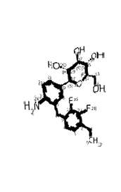 CCc1ccc(Cc2cc([C@@H]3O[C@H](CO)[C@@H](O)[C@H](O)[C@H]3O)ccc2N)c(F)c1F